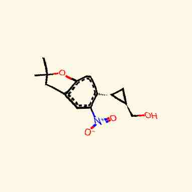 CC1(C)Cc2cc([N+](=O)[O-])c([C@@H]3C[C@H]3CO)cc2O1